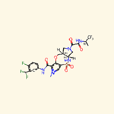 C[C@@H](NC(=O)C(=O)N1C[C@H]2COc3c(cn(C)c3C(=O)Nc3ccc(F)c(C(F)F)c3)S(=O)(=O)N[C@H]2C1)C(F)(F)F